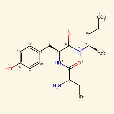 CC(C)C[C@H](N)C(=O)N[C@@H](Cc1ccc(O)cc1)C(=O)N[C@@H](CCC(=O)O)C(=O)O